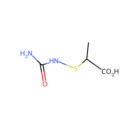 CC(SNC(N)=O)C(=O)O